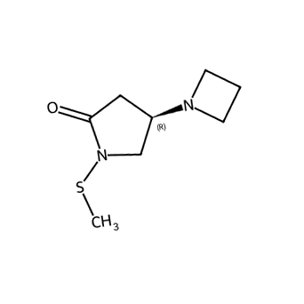 CSN1C[C@H](N2CCC2)CC1=O